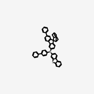 c1ccc(-c2ccc(N(c3ccc4c(c3)-c3ccc(-c5ccccc5)cc3C43C4CC5CC(C4)C3C5)c3ccc4c(c3)sc3ccccc34)cc2)cc1